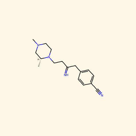 C[C@@H]1CN(C)CCN1CCC(=N)Cc1ccc(C#N)cc1